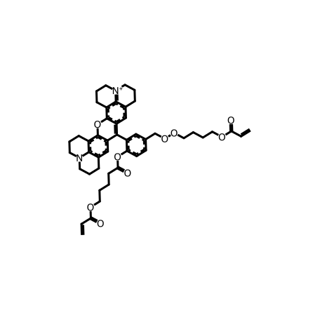 C=CC(=O)OCCCCOOCc1ccc(OC(=O)CCCCOC(=O)C=C)c(C2=c3cc4c5c(c3Oc3c2cc2c6c3CCCN6CCC2)CCC[N+]=5CCC4)c1